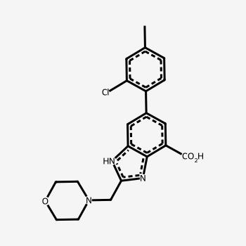 Cc1ccc(-c2cc(C(=O)O)c3nc(CN4CCOCC4)[nH]c3c2)c(Cl)c1